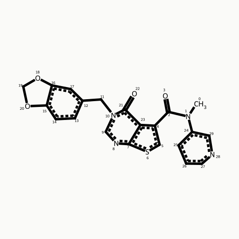 CN(C(=O)c1csc2ncn(Cc3ccc4c(c3)OCO4)c(=O)c12)c1cccnc1